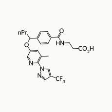 CCCC(Oc1cnc(-n2cc(C(F)(F)F)cn2)c(C)c1)c1ccc(C(=O)NCCC(=O)O)cc1